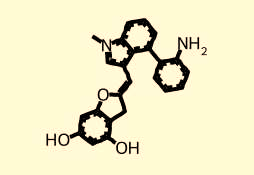 Cn1cc(C=C2Cc3c(O)cc(O)cc3O2)c2c(-c3ccccc3N)cccc21